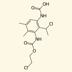 Cc1cc(NC(=O)O)c(C(C)Cl)c(NC(=O)OCCCl)c1C